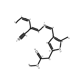 C\C=C/C(C#N)=C\N=C/c1cc(CC(=O)OC)sc1C